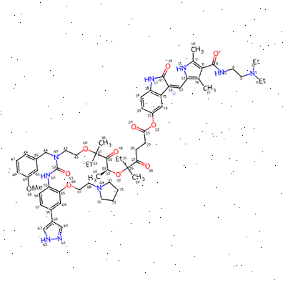 CCN(CC)CCNC(=O)c1c(C)[nH]c(/C=C2\C(=O)Nc3ccc(OC(=O)CCC(=O)C(C)(CC)O[C@@H](C)C(=O)C(C)(CC)OCCN(Cc4cccc(OC)c4)C(=O)Nc4ccc(-c5cn[nH]c5)cc4OCCN4CCCC4)cc32)c1C